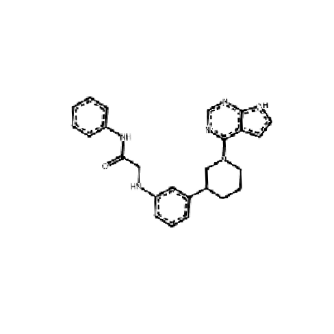 O=C(CNc1cccc(C2CCCN(c3ncnc4[nH]ccc34)C2)c1)Nc1ccccc1